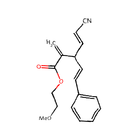 C=C(C(=O)OCCOC)C(C=CC#N)C=Cc1ccccc1